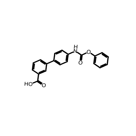 O=C(Nc1ccc(-c2cccc(C(=O)O)c2)cc1)Oc1ccccc1